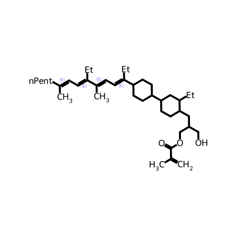 C=C(C)C(=O)OCC(CO)CC1CCC(C2CCC(/C(=C/C=C(C)/C(=C/C=C(\C)CCCCC)CC)CC)CC2)CC1CC